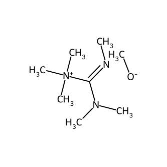 CN=C(N(C)C)[N+](C)(C)C.C[O-]